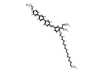 CCCCCCCCCCCCCCCCOc1ccc(/N=N/c2ccc(-c3ccc(-c4ccc(OCC)cc4)cc3)cc2)cc1C(C)CC